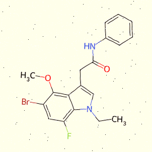 CCn1cc(CC(=O)Nc2ccccc2)c2c(OC)c(Br)cc(F)c21